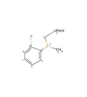 CCCCCCP(C)c1ccccc1F